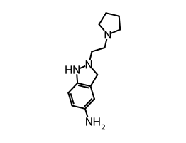 Nc1ccc2c(c1)CN(CCN1CCCC1)N2